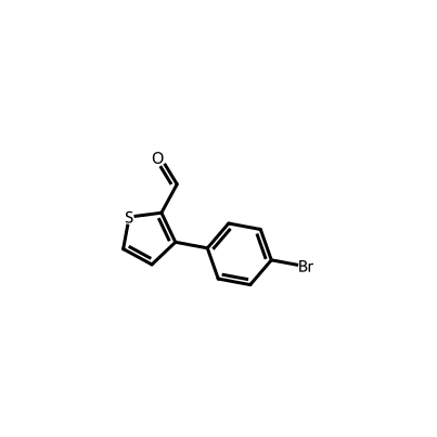 O=Cc1sccc1-c1ccc(Br)cc1